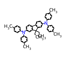 CCC1(CC)c2cc(N(c3ccc(C)cc3)c3ccc(C)cc3)ccc2-c2ccc(N(c3ccc(C)cc3)c3ccc(C)cc3)cc21